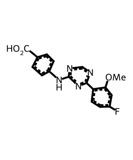 COc1cc(F)ccc1-c1ncnc(Nc2ccc(C(=O)O)cc2)n1